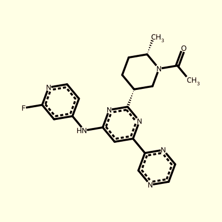 CC(=O)N1C[C@H](c2nc(Nc3ccnc(F)c3)cc(-c3cnccn3)n2)CC[C@@H]1C